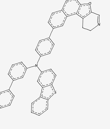 C1=NCCc2c1oc1ccc3ccc(-c4ccc(N(c5cccc(-c6ccccc6)c5)c5ccc6sc7ccccc7c6c5)cc4)cc3c21